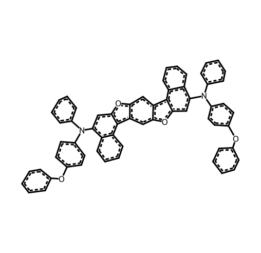 c1ccc(Oc2ccc(N(c3ccccc3)c3cc4oc5cc6c(cc5c4c4ccccc34)oc3cc(N(c4ccccc4)c4ccc(Oc5ccccc5)cc4)c4ccccc4c36)cc2)cc1